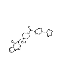 O=C(c1ccc(-c2cscn2)cc1)N1CCC(O)(Cn2cnn3cccc3c2=O)CC1